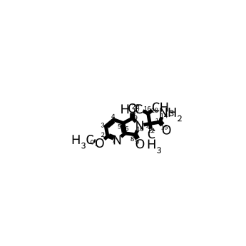 COc1ccc2c(n1)C(=O)N(C(C)(C(N)=O)C(C)C)C2=O